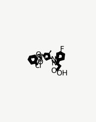 C[C@@H]1CN(S(=O)(=O)c2ccccc2Cl)C[C@@H]1n1nc(CC(=O)O)c2ccc(F)cc21